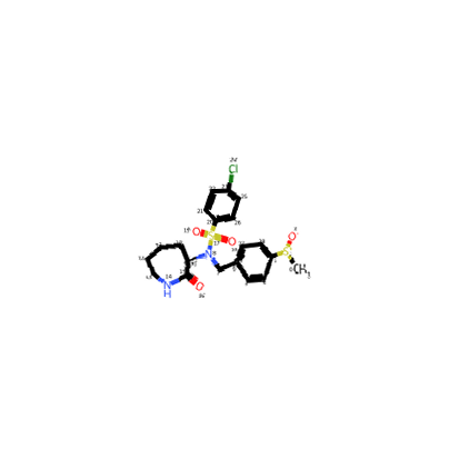 C[S+]([O-])c1ccc(CN([C@@H]2CCCCNC2=O)S(=O)(=O)c2ccc(Cl)cc2)cc1